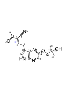 CC(=O)/C(C#N)=C/Cc1c[nH]c2ncc(OCC(C)(C)O)nc12